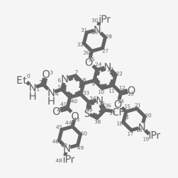 CCNC(=O)Nc1ncc(-c2cc(C(=O)OC3CCN(C(C)C)CC3)cnc2OC2CCN(C(C)C)CC2)c(-c2nc(C(F)(F)F)cs2)c1C(=O)OC1CCN(C(C)C)CC1